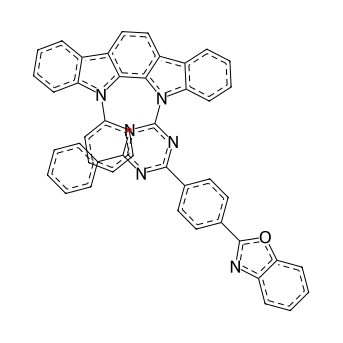 c1ccc(-c2nc(-c3ccc(-c4nc5ccccc5o4)cc3)nc(-n3c4ccccc4c4ccc5c6ccccc6n(-c6ccccc6)c5c43)n2)cc1